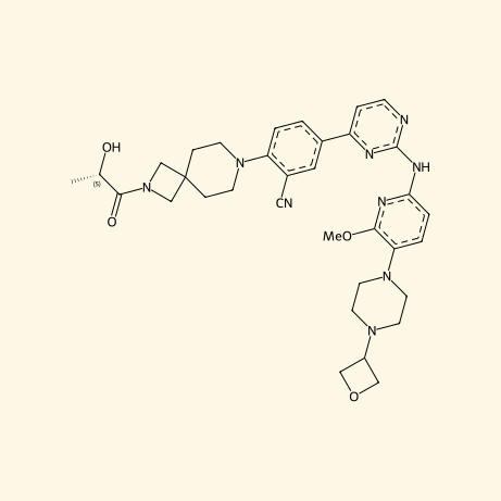 COc1nc(Nc2nccc(-c3ccc(N4CCC5(CC4)CN(C(=O)[C@H](C)O)C5)c(C#N)c3)n2)ccc1N1CCN(C2COC2)CC1